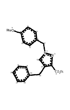 CCOC(=O)c1nn(Cc2ccc(OC)cc2)cc1Cc1ccccc1